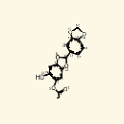 CC(=O)Oc1cc2c(cc1O)OC(c1ccc3c(c1)OCO3)O2